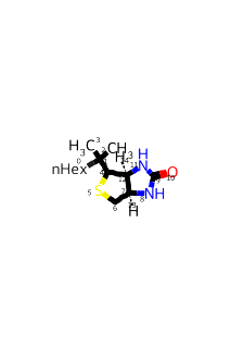 CCCCCCC(C)(C)C1SC[C@@H]2NC(=O)N[C@H]12